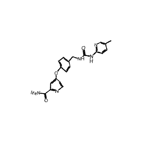 CNC(=O)c1cc(Oc2ccc(CNC(=O)Nc3ccc(C)cn3)cc2)ccn1